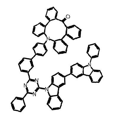 O=c1c2ccccc2c2ccccc2n(-c2ccc(-c3cccc(-c4nc(-c5ccccc5)nc(-n5c6ccccc6c6cc(-c7ccc8c(c7)c7ccccc7n8-c7ccccc7)ccc65)n4)c3)cc2)c2ccccc2c2ccccc12